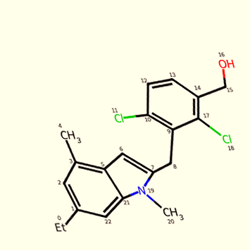 CCc1cc(C)c2cc(Cc3c(Cl)ccc(CO)c3Cl)n(C)c2c1